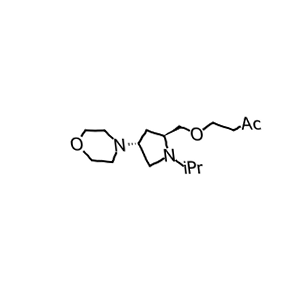 CC(=O)CCOC[C@@H]1C[C@@H](N2CCOCC2)CN1C(C)C